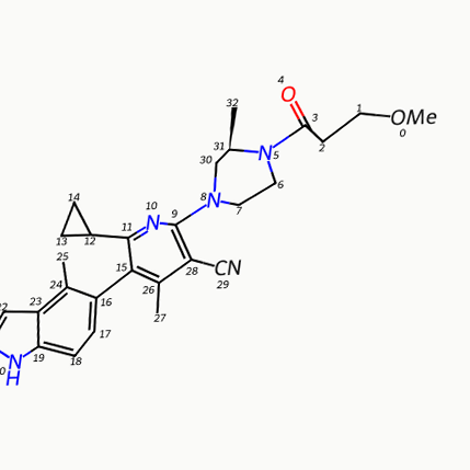 COCCC(=O)N1CCN(c2nc(C3CC3)c(-c3ccc4[nH]ccc4c3C)c(C)c2C#N)C[C@H]1C